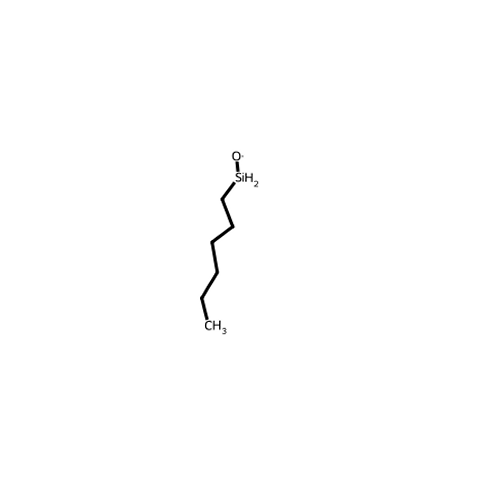 CCCCCC[SiH2][O]